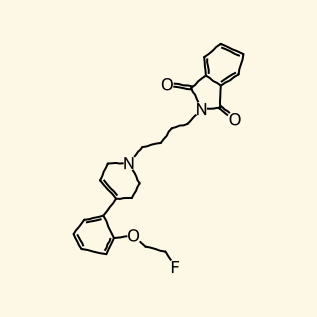 O=C1c2ccccc2C(=O)N1CCCCN1CC=C(c2ccccc2OCCF)CC1